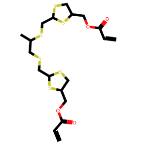 C=CC(=O)OCC1CSC(CSCC(C)SCC2SCC(COC(=O)C=C)S2)S1